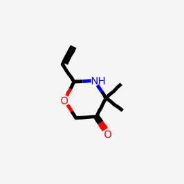 C=CC1NC(C)(C)C(=O)CO1